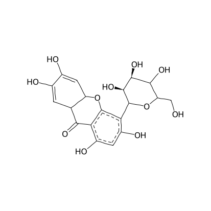 O=C1c2c(O)cc(O)c(C3OC(CO)C(O)[C@H](O)[C@@H]3O)c2OC2C=C(O)C(O)=CC12